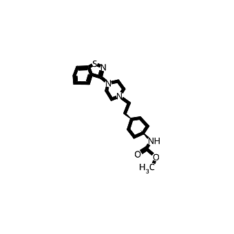 COC(=O)N[C@H]1CC[C@@H](CCN2CCN(c3nsc4ccccc34)CC2)CC1